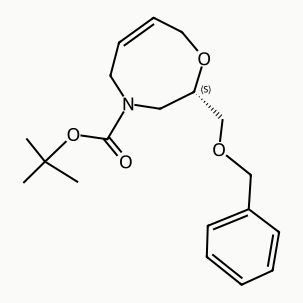 CC(C)(C)OC(=O)N1CC=CCO[C@H](COCc2ccccc2)C1